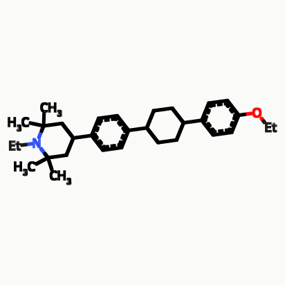 CCOc1ccc(C2CCC(c3ccc(C4CC(C)(C)N(CC)C(C)(C)C4)cc3)CC2)cc1